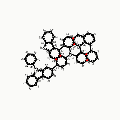 c1ccc(-c2cccc3cccc(-c4ccccc4N(c4ccc(-c5ccc6c7ccccc7n(-c7ccccc7)c6c5)cc4)c4ccccc4-c4cccc5sc6ccccc6c45)c23)cc1